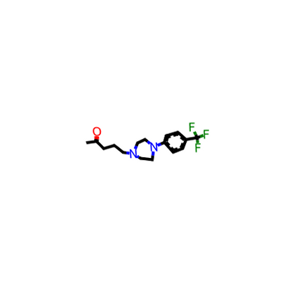 CC(=O)CCCN1CCN(c2ccc(C(F)(F)F)cc2)CC1